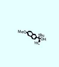 C#CC(O)(c1ccc2cc(OC)ccc2c1)C(C)(C)C